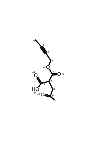 CC#CCOC(=O)C(CC(C)=O)C(=O)O